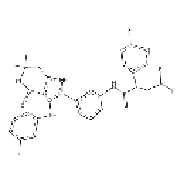 CC1(C)Cc2[nH]c(-c3ccnc(NC(=O)C(CC(F)F)c4ccc(F)cc4)c3)c(Nc3cccc(F)c3)c2C(=O)N1